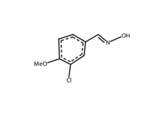 COc1ccc(C=NO)cc1Cl